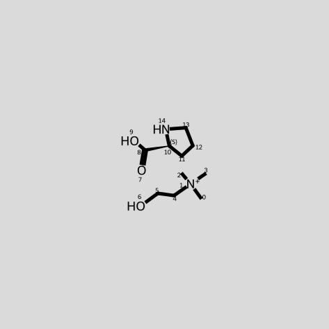 C[N+](C)(C)CCO.O=C(O)[C@@H]1CCCN1